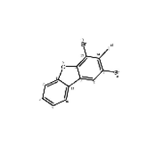 Brc1cc2c(oc3ccccc32)c(Br)c1I